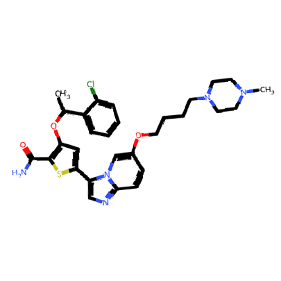 CC(Oc1cc(-c2cnc3ccc(OCCCCN4CCN(C)CC4)cn23)sc1C(N)=O)c1ccccc1Cl